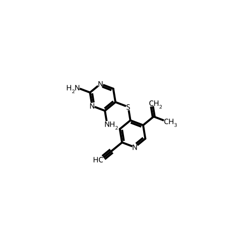 C#Cc1cc(Sc2cnc(N)nc2N)c(C(=C)C)cn1